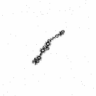 CC1(COCCCCCCOc2ccc(C(=O)Oc3ccc(C#Cc4ccc(OC(F)(F)F)cc4)cc3)cc2)COC1